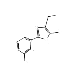 FC(F)(F)c1cccc(-c2nc(CI)c(C(F)(F)F)o2)c1